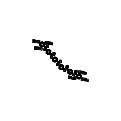 COc1cc(OCC(C)C)cc(OC)c1C(=O)Oc1ccc(C(=O)Oc2ccc(OC(=O)c3ccc(OC(=O)c4ccc(OC(=O)c5c(OC)cc(OCC(C)C)cc5OC)cc4)cc3)cc2)cc1